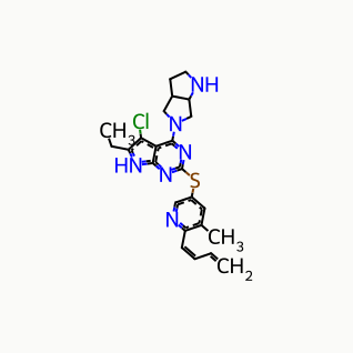 C=C/C=C\c1ncc(Sc2nc(N3CC4CCNC4C3)c3c(Cl)c(CC)[nH]c3n2)cc1C